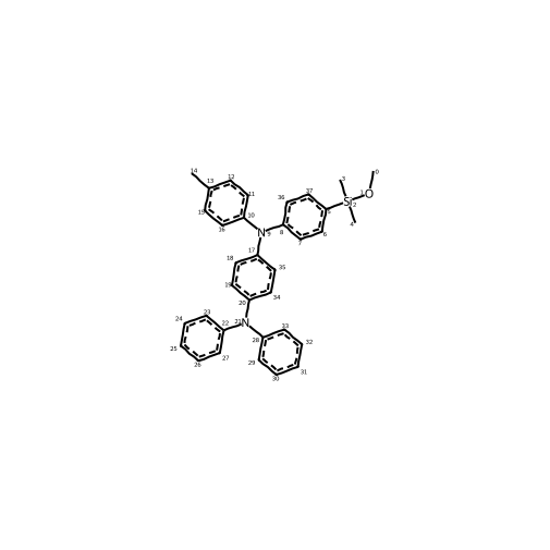 CO[Si](C)(C)c1ccc(N(c2ccc(C)cc2)c2ccc(N(c3ccccc3)c3ccccc3)cc2)cc1